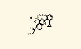 COc1ncnc(C2CC2)c1-c1nc2c(c(S(C)(=O)=O)n1)CN(C(=O)OC(C)(C)C)CC2